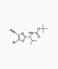 CC(C)C(NC(=O)OC(C)(C)C)c1nc(C#N)c(Br)o1